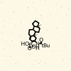 CC(C)(C)C(=O)NC1=C(P(=O)(O)O)C=C2CCC3C4CCC[C@@]4(C)CCC3[C@@]2(C)C1